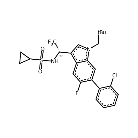 CC(C)(C)Cn1cc([C@H](NS(=O)(=O)C2CC2)C(F)(F)F)c2cc(F)c(-c3ccccc3Cl)cc21